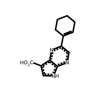 O=C(O)c1c[nH]c2ncc(C3=CCCCC3)nc12